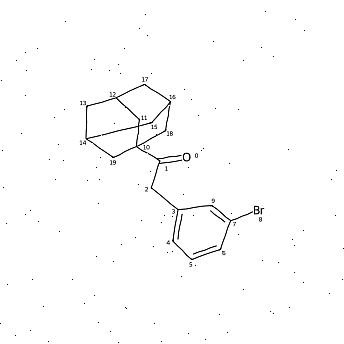 O=C(Cc1cccc(Br)c1)C12CC3CC(CC(C3)C1)C2